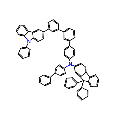 c1ccc(-c2ccc(N(c3ccc(-c4cccc(-c5cccc(-c6ccc7c(c6)c6ccccc6n7-c6ccccc6)c5)c4)cc3)c3ccc4c(c3)C(c3ccccc3)(c3ccccc3)c3ccccc3-4)cc2)cc1